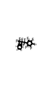 Fc1c(F)c(C(F)(F)C2(F)C3C4C=CC(C4)C3C2(F)F)c(F)c(F)c1I